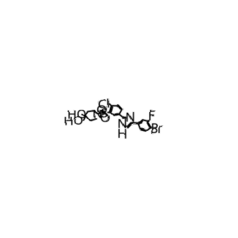 O=S(=O)(c1cc(-c2nc(-c3ccc(Br)c(F)c3)c[nH]2)ccc1Cl)N1CCC(O)(CO)CC1